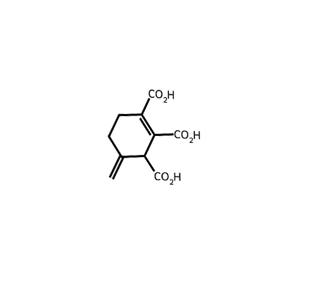 C=C1CCC(C(=O)O)=C(C(=O)O)C1C(=O)O